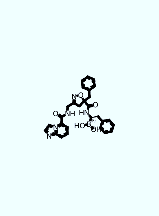 O=C(NCC1=NOC(Cc2ccccc2)(C(=O)N[C@@H](Cc2ccccc2)B(O)O)C1)c1cccc2nccn12